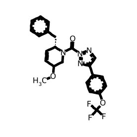 COC1C=C[C@H](Cc2ccccc2)N(C(=O)n2ncc(-c3ccc(OC(F)(F)F)cc3)n2)C1